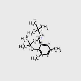 Cc1cc(C)c(OC(C)(C)C)c(/C=N/C(C)(C)C)c1